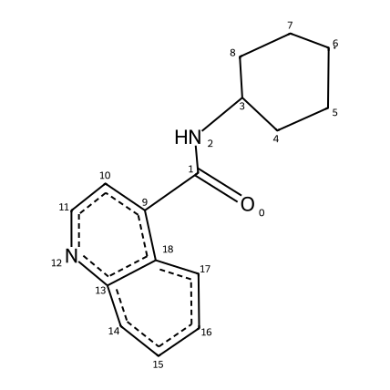 O=C(NC1CC[CH]CC1)c1ccnc2ccccc12